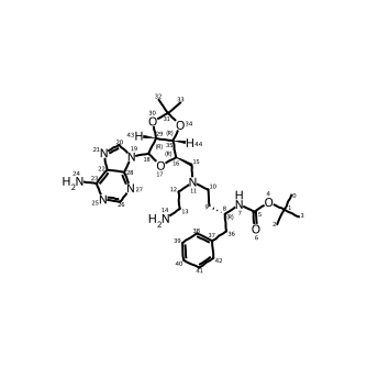 CC(C)(C)OC(=O)N[C@@H](CCN(CCN)C[C@H]1OC(n2cnc3c(N)ncnc32)[C@@H]2OC(C)(C)O[C@H]12)Cc1ccccc1